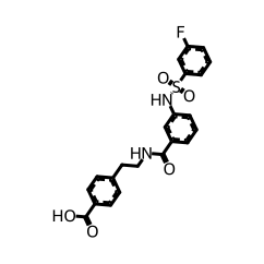 O=C(O)c1ccc(CCNC(=O)c2cccc(NS(=O)(=O)c3cccc(F)c3)c2)cc1